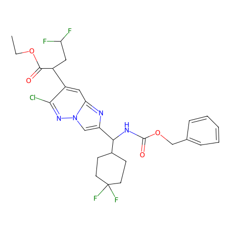 CCOC(=O)C(CC(F)F)c1cc2nc(C(NC(=O)OCc3ccccc3)C3CCC(F)(F)CC3)cn2nc1Cl